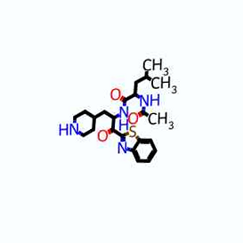 CC(=O)NC(CC(C)C)C(=O)NC(CC1CCNCC1)C(=O)c1nc2ccccc2s1